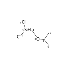 CC(C)OC[SiH](Cl)Cl